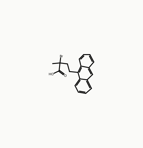 CC(Br)(CCc1c2ccccc2cc2ccccc12)C(=O)O